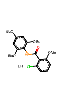 COc1cccc(Cl)c1C(=O)Pc1c(OCC(C)C)cc(OCC(C)C)cc1OCC(C)C.[LiH]